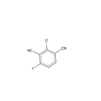 N#Cc1ccc(F)c(C#N)c1Cl